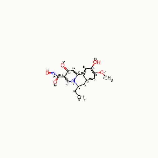 CCC1Cc2cc(OC)c(O)cc2-c2cc(=O)c(C(=O)N=O)cn21